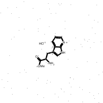 COC(=O)C(N)Cc1c[nH]c2ncccc12.Cl